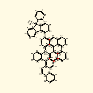 CC1(c2ccccc2)c2ccccc2-c2c(-c3ccc(N(c4ccccc4-c4cccc5c4ccc4ccccc45)c4ccccc4-c4cccc5cccc(-c6ccccc6)c45)cc3)cccc21